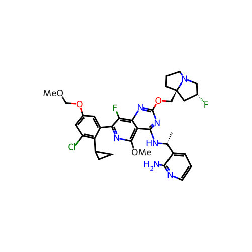 COCOc1cc(Cl)c(C2CC2)c(-c2nc(OC)c3c(N[C@H](C)c4cccnc4N)nc(OC[C@@]45CCCN4C[C@H](F)C5)nc3c2F)c1